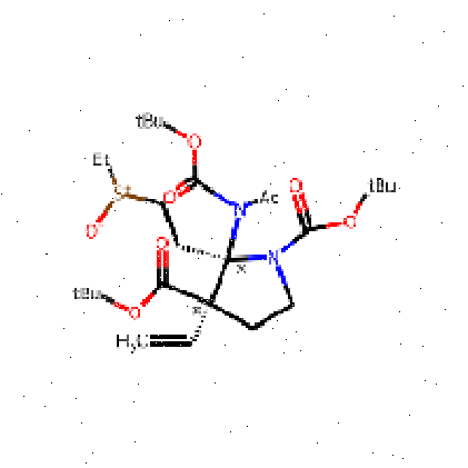 C=C[C@@]1(C(=O)OC(C)(C)C)CCN(C(=O)OC(C)(C)C)[C@]1(CC[S+]([O-])CC)N(C(C)=O)C(=O)OC(C)(C)C